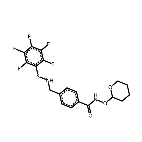 O=C(NOC1CCCCO1)c1ccc(CNSc2c(F)c(F)c(F)c(F)c2F)cc1